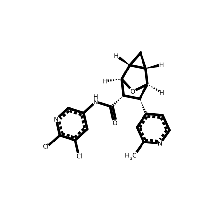 Cc1cc([C@H]2[C@H]3O[C@H]([C@@H]4C[C@@H]43)[C@H]2C(=O)Nc2cnc(Cl)c(Cl)c2)ccn1